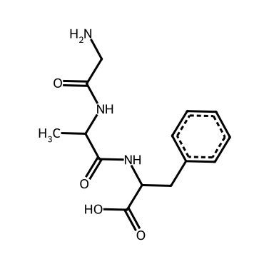 CC(NC(=O)CN)C(=O)NC(Cc1ccccc1)C(=O)O